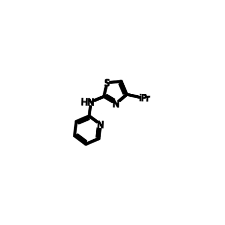 CC(C)c1csc(Nc2ccccn2)n1